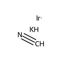 C#N.[Ir].[KH]